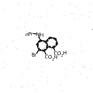 CCCNc1cc(Br)c(C(=O)O)c2c(C(=O)O)cccc12